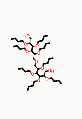 CCCCO[C@@H]([C@H](OCCCC)[C@@H](COC[C@@H](OCCCC)[C@@H](OCCCC)[C@H](OCCCC)[C@@H](CO)OCCCC)OCCCC)[C@@H](CO)OCCCC